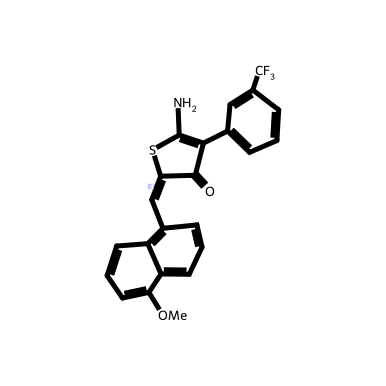 COc1cccc2c(/C=C3/SC(N)=C(c4cccc(C(F)(F)F)c4)C3=O)cccc12